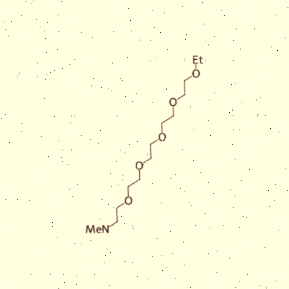 CCOCCOCCOCCOCCOCCNC